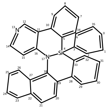 c1ccc([Si]23c4ccccc4-c4cnccc4N2c2c(ccc4ccccc24)-c2ccccc23)cc1